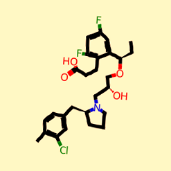 CC[C@@H](OC[C@H](O)CN1CCC[C@H]1Cc1ccc(C)c(Cl)c1)c1cc(F)cc(F)c1CCC(=O)O